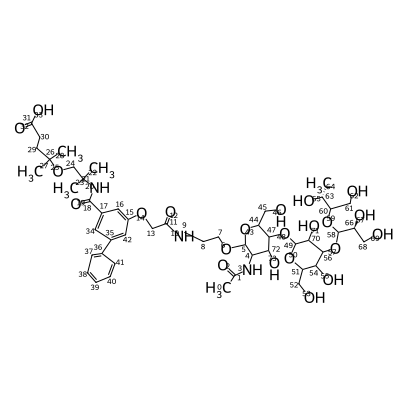 CC(=O)NC1C(OCCCNC(=O)COc2cc(C(=O)NC(C)(C)COC(C)(C)CCC(=O)O)cc(-c3ccccc3)c2)OC(CO)C(OC2OC(CO)C(O)C(OC(OC(CO)[C@@H](C)O)[C@@H](O)CO)C2O)C1O